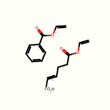 C=COC(=O)CC/C=C/C(=O)O.C=COC(=O)c1ccccc1